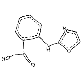 O=C(O)c1ccccc1Nc1ncco1